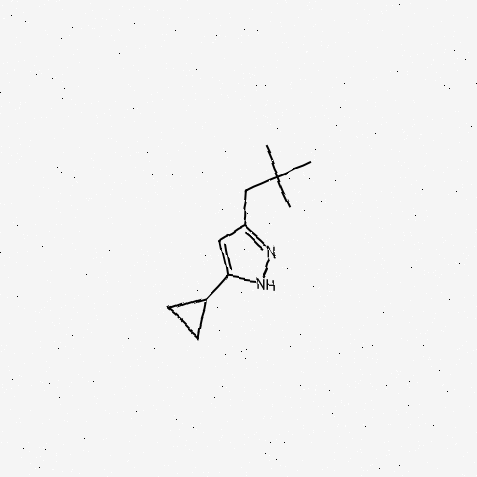 CC(C)(C)Cc1cc(C2CC2)[nH]n1